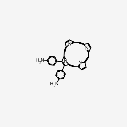 Nc1ccc(C2=C(c3ccc(N)cc3)C3=NC2=CC2=NC(=CC4=NC(=CC5=NC(=C3)C=C5)C=C4)C=C2)cc1